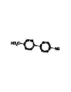 O=Nc1ccc(-c2ccc(C(=O)O)cc2)cc1